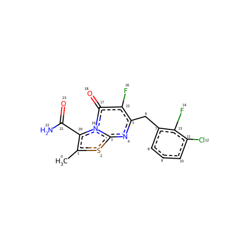 Cc1sc2nc(Cc3cccc(Cl)c3F)c(F)c(=O)n2c1C(N)=O